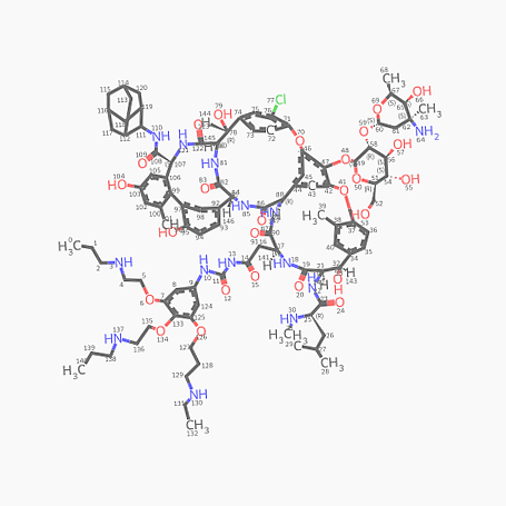 CCCNCCOc1cc(NC(=O)NC(=O)C[C@@H]2NC(=O)[C@H](NC(=O)[C@@H](CC(C)C)NC)[C@H](O)c3ccc(c(C)c3)Oc3cc4cc(c3O[C@@H]3O[C@H](CO)[C@@H](O)[C@H](O)[C@H]3O[C@H]3C[C@](C)(N)[C@H](O)[C@H](C)O3)Oc3ccc(cc3Cl)[C@@H](O)[C@@H]3NC(=O)[C@H](NC(=O)[C@@H]4NC2=O)c2ccc(O)c(c2)-c2c(C)cc(O)cc2[C@@H](C(=O)NC2C4CC5CC(C4)CC2C5)NC3=O)cc(OCCCNCC)c1OCCNCCC